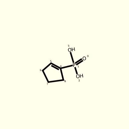 O=P(O)(O)C1=CCCC1